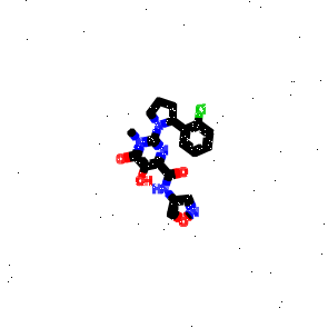 Cn1c(N2CCCC2c2ccccc2Cl)nc(C(=O)Nc2cnoc2)c(O)c1=O